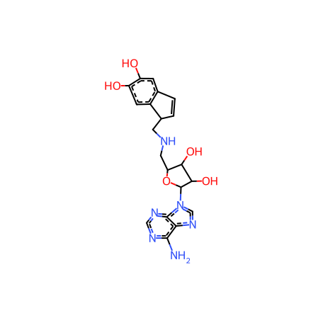 Nc1ncnc2c1ncn2C1OC(CNCC2C=Cc3cc(O)c(O)cc32)C(O)C1O